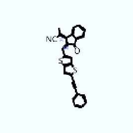 C/C(C#N)=C1/C(=C/c2cc3sc(C#Cc4ccccc4)cc3s2)C(=O)c2ccccc21